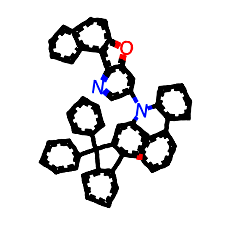 c1ccc(-c2ccccc2N(c2ccc3c(c2)C(c2ccccc2)(c2ccccc2)c2ccccc2-3)c2cnc3c(c2)oc2ccc4ccccc4c23)cc1